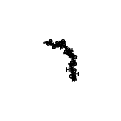 CCOC(=O)CCC(=O)c1cc2c(F)c(OCCCOc3c(OC)cc4c(c3F)CN(C(=O)CCC(=O)OC(C)(C)SCNC(=O)CNC(=O)OC(C)(C)C)C4)c(OC)cc2s1